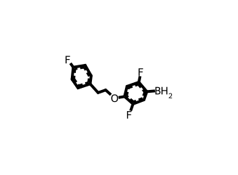 Bc1cc(F)c(OCCc2ccc(F)cc2)cc1F